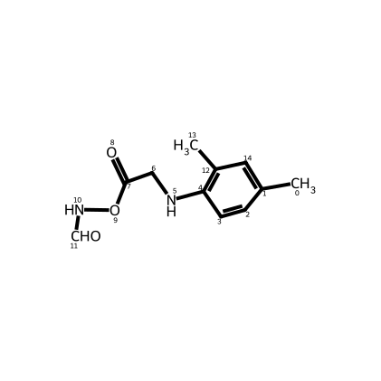 Cc1ccc(NCC(=O)ONC=O)c(C)c1